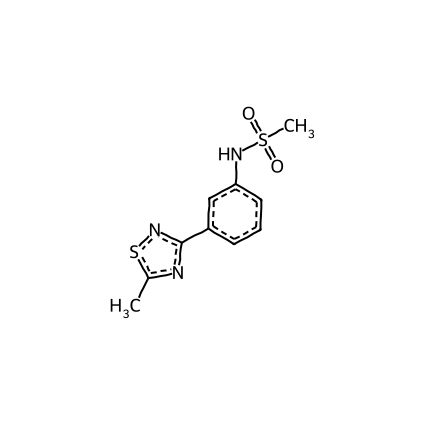 Cc1nc(-c2cccc(NS(C)(=O)=O)c2)ns1